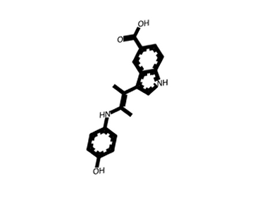 C/C(Nc1ccc(O)cc1)=C(/C)c1c[nH]c2ccc(C(=O)O)cc12